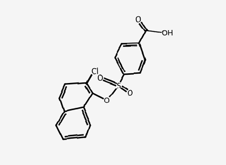 O=C(O)c1ccc(S(=O)(=O)Oc2c(Cl)ccc3ccccc23)cc1